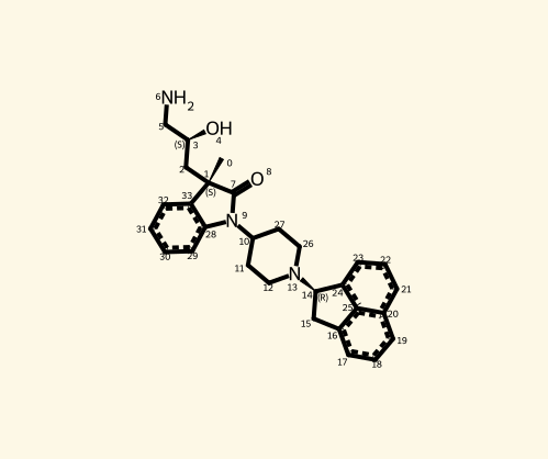 C[C@@]1(C[C@H](O)CN)C(=O)N(C2CCN([C@@H]3Cc4cccc5cccc3c45)CC2)c2ccccc21